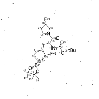 CC(C)(C)OC(=O)NC(Cc1ccc(B2OC(C)(C)C(C)(C)O2)cc1F)C(=O)N1CC[C@H](F)C1